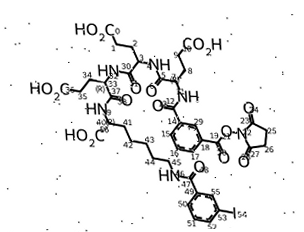 O=C(O)CCC(NC(=O)[C@@H](CCC(=O)O)NC(=O)c1cccc(C(=O)ON2C(=O)CCC2=O)c1)C(=O)N[C@H](CCC(=O)O)C(=O)N[C@H](CCCCCNC(=O)c1cccc(I)c1)C(=O)O